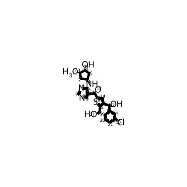 C[C@@H]1C[C@@H](Nc2ncncc2C(=O)c2cc(C(O)c3cccc(Cl)c3)c(CO)s2)C[C@H]1O